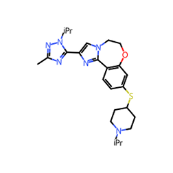 Cc1nc(-c2cn3c(n2)-c2ccc(SC4CCN(C(C)C)CC4)cc2OCC3)n(C(C)C)n1